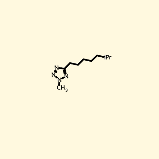 CC(C)CCCCCc1nnn(C)n1